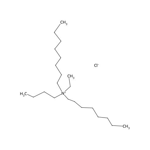 CCCCCCCC[N+](CC)(CCCC)CCCCCCCC.[Cl-]